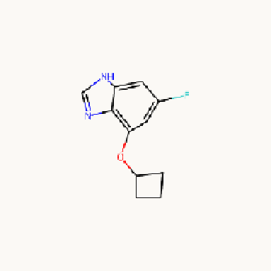 Fc1cc(OC2CCC2)c2nc[nH]c2c1